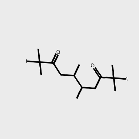 CC(CC(=O)C(C)(C)I)C(C)CC(=O)C(C)(C)I